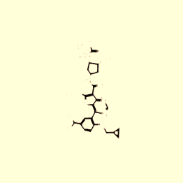 CC(=O)N[C@H]1C[C@H](NC(=O)c2c(C)[nH]c3c(-c4cc(C(F)F)ccc4OCC4CC4)ncnc23)C[C@@H]1C